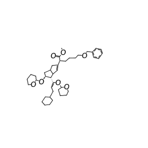 COC(=O)C(CCCCOCc1ccccc1)C1=CC2C(C1)C[C@H](OC1CCCCO1)[C@H]2C(=CCC1CCCCC1)OC1CCCCO1